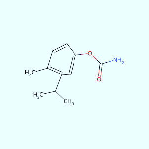 Cc1ccc(OC(N)=O)cc1C(C)C